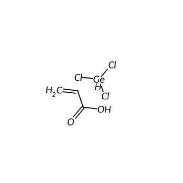 C=CC(=O)O.[Cl][GeH]([Cl])[Cl]